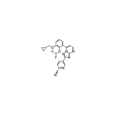 N#Cc1ccc(-c2nc3nccc(-c4cccc(OCC5CC5)c4OC(F)F)n3n2)cn1